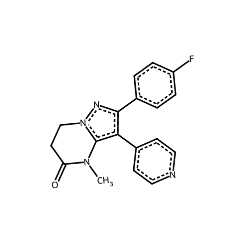 CN1C(=O)CCn2nc(-c3ccc(F)cc3)c(-c3ccncc3)c21